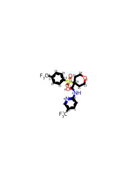 O=C(Nc1ccc(C(F)(F)F)cn1)C1(S(=O)(=O)c2ccc(C(F)(F)F)cc2)CCOCC1